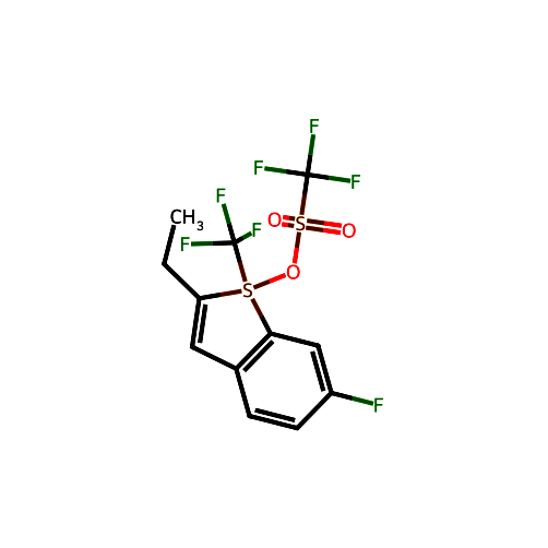 CCC1=Cc2ccc(F)cc2S1(OS(=O)(=O)C(F)(F)F)C(F)(F)F